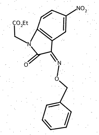 CCOC(=O)CN1C(=O)C(=NOCc2ccccc2)c2cc([N+](=O)[O-])ccc21